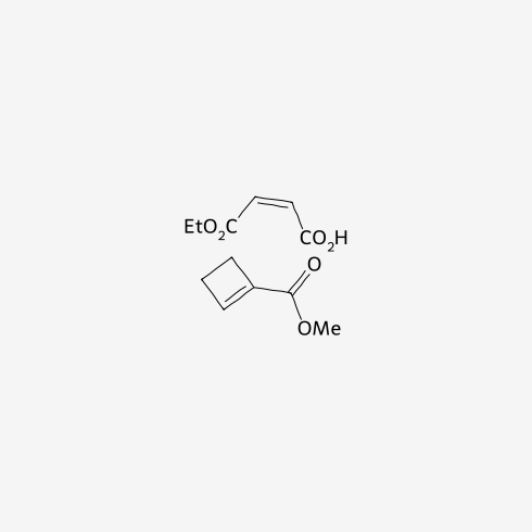 CCOC(=O)/C=C\C(=O)O.COC(=O)C1=CCC1